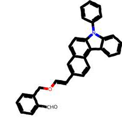 O=Cc1ccccc1COC=Cc1ccc2c(ccc3c2c2ccccc2n3-c2ccccc2)c1